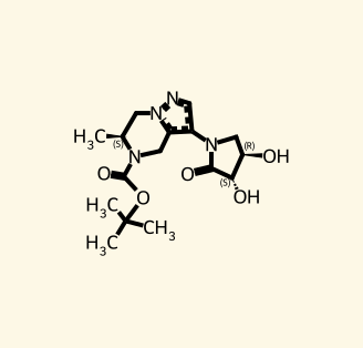 C[C@H]1Cn2ncc(N3C[C@@H](O)[C@H](O)C3=O)c2CN1C(=O)OC(C)(C)C